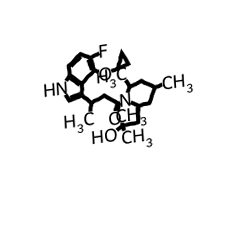 CC1CC(C)N(C(=O)CC(C)c2c[nH]c3ccc(F)c(OC4CC4)c23)C(CC(C)(C)O)C1